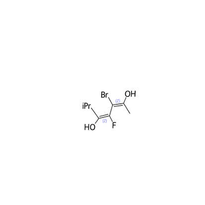 C/C(O)=C(Br)\C(F)=C(\O)C(C)C